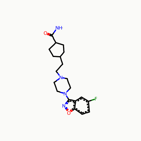 [NH]C(=O)C1CCC(CCN2CCN(c3noc4ccc(F)cc34)CC2)CC1